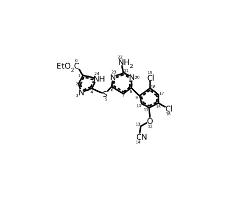 CCOC(=O)c1cnc(Sc2cc(-c3cc(OCC#N)c(Cl)cc3Cl)nc(N)n2)[nH]1